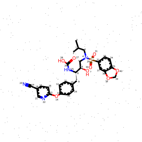 CC(C)CN(C[C@@H](O)[C@H](Cc1ccc(Oc2ccc(C#N)cn2)cc1)NC(=O)O)S(=O)(=O)c1ccc2c(c1)OCO2